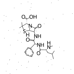 CNC(CC(C)C)C(=O)NC(C(=O)NC1C(=O)N2[C@@H]1SC(C)(C)[C@@H]2C(=O)O)c1ccccc1